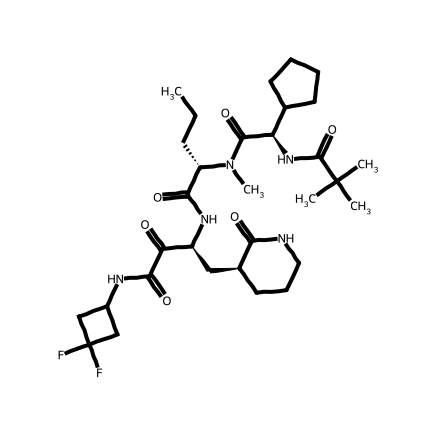 CCC[C@@H](C(=O)N[C@@H](C[C@@H]1CCCNC1=O)C(=O)C(=O)NC1CC(F)(F)C1)N(C)C(=O)[C@H](NC(=O)C(C)(C)C)C1CCCC1